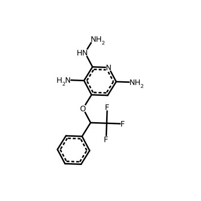 NNc1nc(N)cc(OC(c2ccccc2)C(F)(F)F)c1N